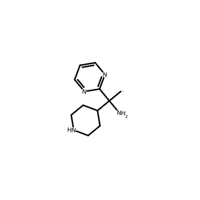 [CH2]C(N)(c1ncccn1)C1CCNCC1